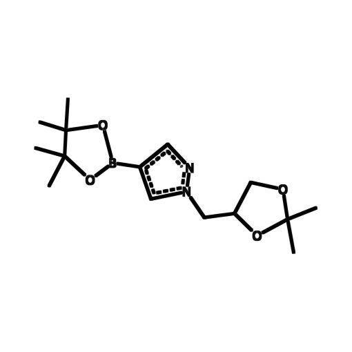 CC1(C)OCC(Cn2cc(B3OC(C)(C)C(C)(C)O3)cn2)O1